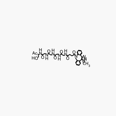 CC(=O)[C@H](CO)NC(=O)CNC(=O)CNC(=O)CNC(=O)CNC(=O)CCC(=O)N1Cc2ccccc2-c2c(nnn2C)-c2ccccc21